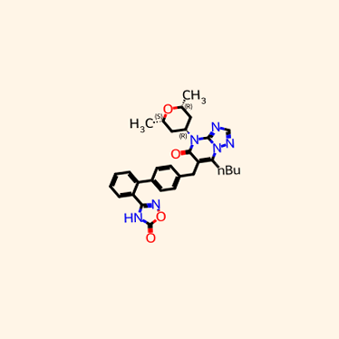 CCCCc1c(Cc2ccc(-c3ccccc3-c3noc(=O)[nH]3)cc2)c(=O)n([C@H]2C[C@@H](C)O[C@@H](C)C2)c2ncnn12